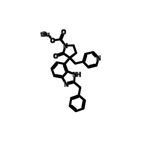 CC(C)(C)OC(=O)N1CCC(Cc2ccncc2)(c2cccc3nc(Cc4ccccc4)[nH]c23)C1=O